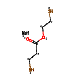 O=C(CCS)OCCS.[NaH]